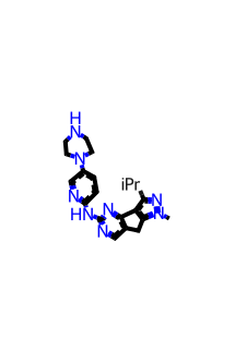 CC(C)c1nn(C)c2c1-c1nc(Nc3ccc(N4CCNCC4)cn3)ncc1C2